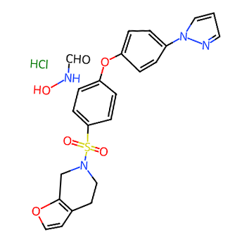 Cl.O=CNO.O=S(=O)(c1ccc(Oc2ccc(-n3cccn3)cc2)cc1)N1CCc2ccoc2C1